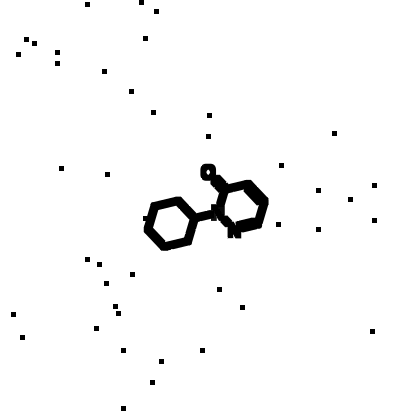 O=c1cccnn1C1CCCCC1